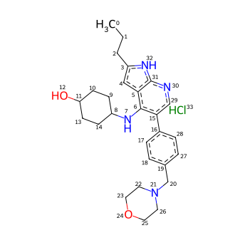 CCCc1cc2c(NC3CCC(O)CC3)c(-c3ccc(CN4CCOCC4)cc3)cnc2[nH]1.Cl